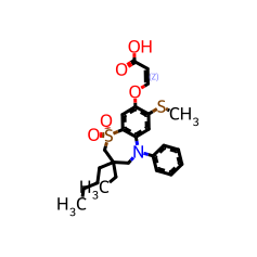 CCCCC1(CC)CN(c2ccccc2)c2cc(SC)c(O/C=C\C(=O)O)cc2S(=O)(=O)C1